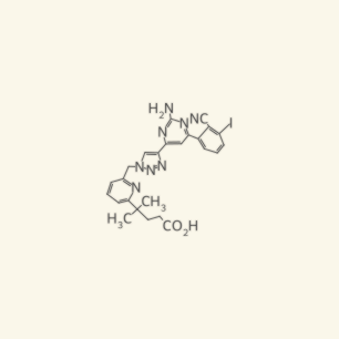 CC(C)(CCC(=O)O)c1cccc(Cn2cc(-c3cc(-c4cccc(I)c4C#N)nc(N)n3)nn2)n1